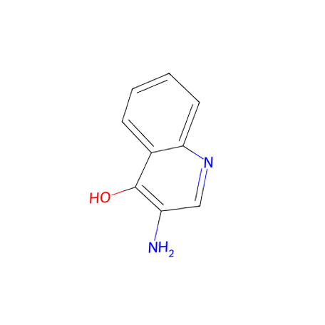 Nc1cnc2ccccc2c1O